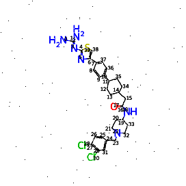 NC(N)=Nc1nc(-c2ccc(C3CCC(CC(=O)NC4CCN(Cc5ccc(Cl)c(Cl)c5)CC4)CC3)cc2)cs1